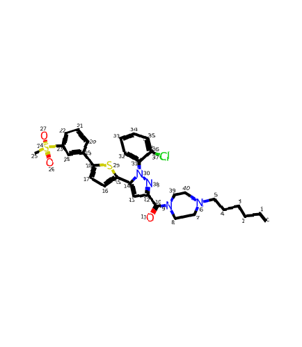 CCCCCCN1CCN(C(=O)c2cc(-c3ccc(-c4cccc(S(C)(=O)=O)c4)s3)n(-c3ccccc3Cl)n2)CC1